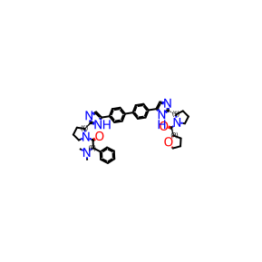 CN(C)[C@@H](C(=O)N1CCC[C@H]1c1ncc(-c2ccc(-c3ccc(-c4cnc([C@@H]5CCCN5C(=O)[C@H]5CCCO5)[nH]4)cc3)cc2)[nH]1)c1ccccc1